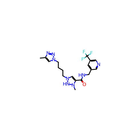 Cc1cn(CCCCN2C=C(C(=O)NCc3cncc(C(F)(F)F)c3)N(C)N2)nn1